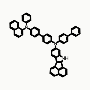 c1ccc(-c2ccc(N(c3ccc(-c4ccc(N(c5ccccc5)c5cccc6ccccc56)cc4)cc3)c3ccc4c5c([nH]c4c3)-c3cccc4cccc-5c34)cc2)cc1